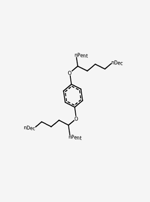 CCCCCCCCCCCCCC(CCCCC)Oc1ccc(OC(CCCCC)CCCCCCCCCCCCC)cc1